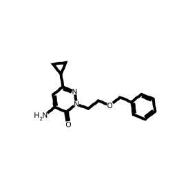 Nc1cc(C2CC2)nn(CCOCc2ccccc2)c1=O